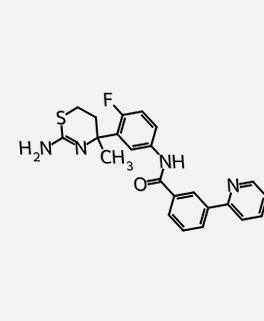 CC1(c2cc(NC(=O)c3cccc(-c4ccccn4)c3)ccc2F)CCSC(N)=N1